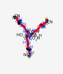 N#C[C@@H]1CC(F)(F)CN1C(=O)CNC(=O)c1ccnc2c(NC(=O)CCC(=O)NCCNC(=O)CCC(C(=O)O)N3CN(CC(=O)O)CN(C(CCC(=O)NCCNC(=O)CCC(=O)Nc4cccc5c(C(=O)NCC(=O)N6CC(F)(F)C[C@H]6C#N)ccnc45)C(=O)O)CN(C(CCC(=O)NCCNC(=O)CCC(=O)Nc4cccc5c(C(=O)NCC(=O)N6CC(F)(F)C[C@H]6C#N)ccnc45)C(=O)O)C3)cccc12